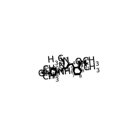 Cc1nc(Cc2ccccc2C(=O)N(C)C)cc(Nc2ccc(P(C)(C)=O)cc2)n1